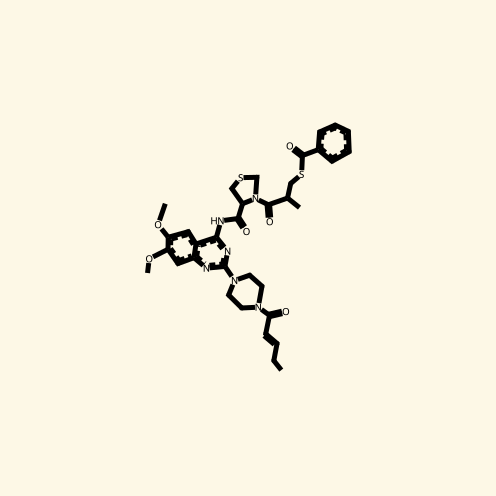 CCC=CC(=O)N1CCN(c2nc(NC(=O)C3CSCN3C(=O)C(C)CSC(=O)c3ccccc3)c3cc(OC)c(OC)cc3n2)CC1